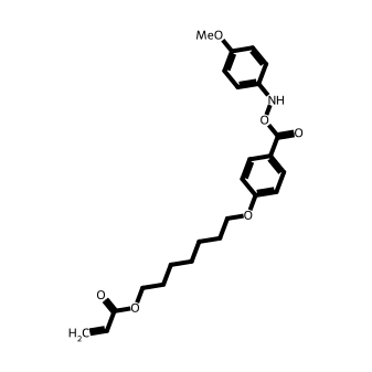 C=CC(=O)OCCCCCCCOc1ccc(C(=O)ONc2ccc(OC)cc2)cc1